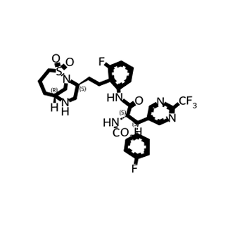 O=C(O)N[C@H](C(=O)Nc1cccc(F)c1CC[C@H]1CN[C@@H]2CCCS(=O)(=O)N1C2)[C@@H](c1ccc(F)cc1)c1cnc(C(F)(F)F)nc1